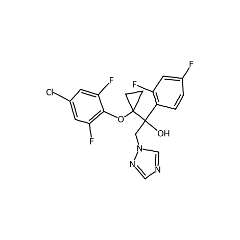 OC(Cn1cncn1)(c1ccc(F)cc1F)C1(Oc2c(F)cc(Cl)cc2F)CC1